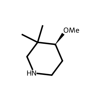 CO[C@H]1CCNCC1(C)C